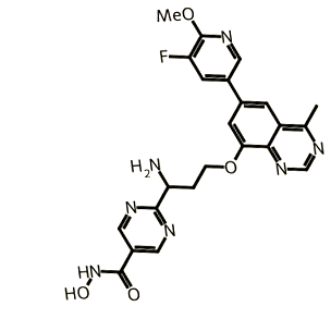 COc1ncc(-c2cc(OCCC(N)c3ncc(C(=O)NO)cn3)c3ncnc(C)c3c2)cc1F